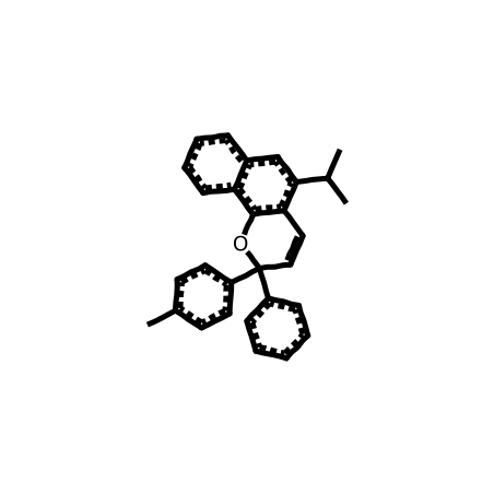 Cc1ccc(C2(c3ccccc3)C=Cc3c(C(C)C)cc4ccccc4c3O2)cc1